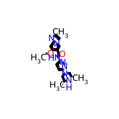 CCOc1cc2nc(C)cn2cc1C(=O)Nc1ccc(N2C[C@@H](C)N[C@@H](C)C2)nn1